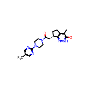 Cc1c2c(n[nH]c1=O)[C@H](CC(=O)N1CCN(c3ncc(C(F)(F)F)cn3)CC1)CC2